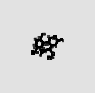 C=C1C=C(C(OCC)=C2CC2)C(c2cc(Br)ccc2C)=CO1